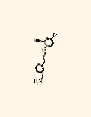 N#Cc1cc(Br)ccc1OCCCc1cccc(CN)c1